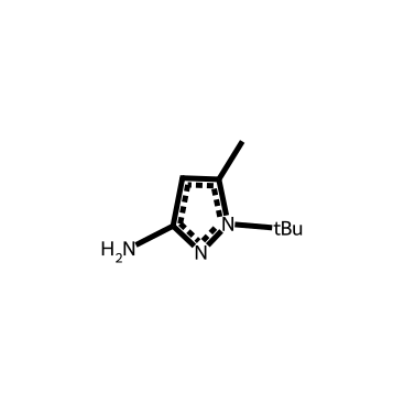 Cc1cc(N)nn1C(C)(C)C